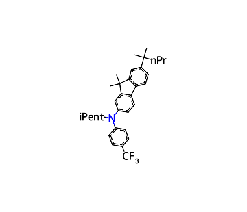 CCCC(C)N(c1ccc(C(F)(F)F)cc1)c1ccc2c(c1)C(C)(C)c1cc(C(C)(C)CCC)ccc1-2